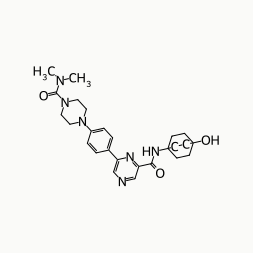 CN(C)C(=O)N1CCN(c2ccc(-c3cncc(C(=O)NC45CCC(O)(CC4)CC5)n3)cc2)CC1